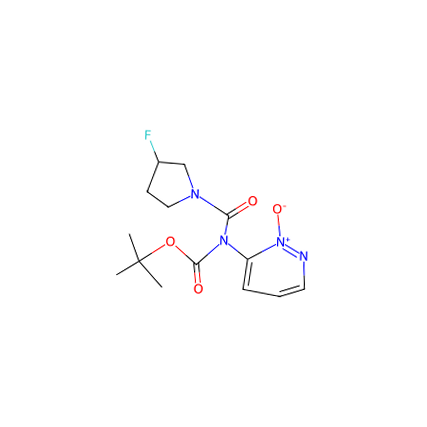 CC(C)(C)OC(=O)N(C(=O)N1CCC(F)C1)c1cccn[n+]1[O-]